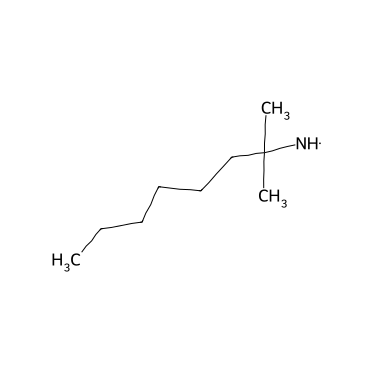 CCCCCCC(C)(C)[NH]